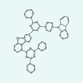 C1=CC2c3ccccc3N(c3ccc(-c4nc(-c5ccccc5)nc(-c5ccc6c(c5)oc5cccc(-c7nc(-c8ccccc8)nc(-c8ccccc8)n7)c56)n4)cc3)C2C=C1